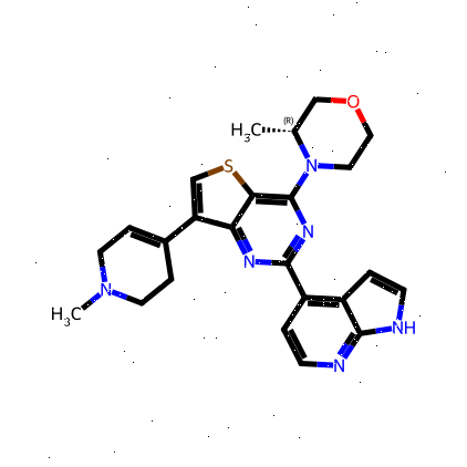 C[C@@H]1COCCN1c1nc(-c2ccnc3[nH]ccc23)nc2c(C3=CCN(C)CC3)csc12